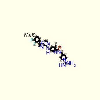 COc1ccc(-c2cnc3c(Nc4ccc(C(=O)NCC5CCN(C(=N)N)CC5)c(C)c4)nccn23)c(F)c1F